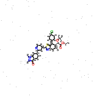 CCOC(=O)[C@@H](OC(C)(C)C)c1c(C)cc2nc(-c3ccnc(-c4ccc5c(=O)n(C)n(C)c5c4)c3)sc2c1-c1ccc(Cl)cc1